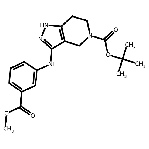 COC(=O)c1cccc(Nc2n[nH]c3c2CN(C(=O)OC(C)(C)C)CC3)c1